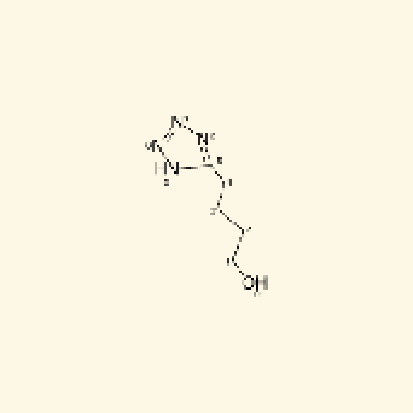 OCCCCc1nnn[nH]1